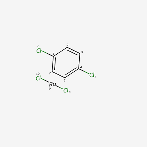 Clc1ccc(Cl)cc1.[Cl][Ru][Cl]